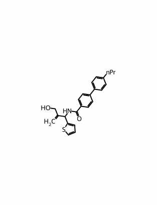 C=C(CO)C(NC(=O)c1ccc(-c2ccc(CCC)cc2)cc1)c1cccs1